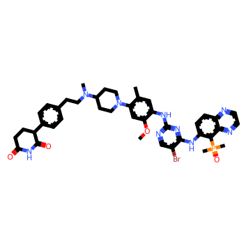 COc1cc(N2CCC(N(C)CCc3ccc(C4CCC(=O)NC4=O)cc3)CC2)c(C)cc1Nc1ncc(Br)c(Nc2ccc3nccnc3c2P(C)(C)=O)n1